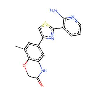 Cc1cc(-c2csc(-c3cccnc3N)n2)cc2c1OCC(=O)N2